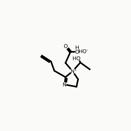 C=CCC1=NCC[N+]1(CC(=O)O)C(C)O.[OH-]